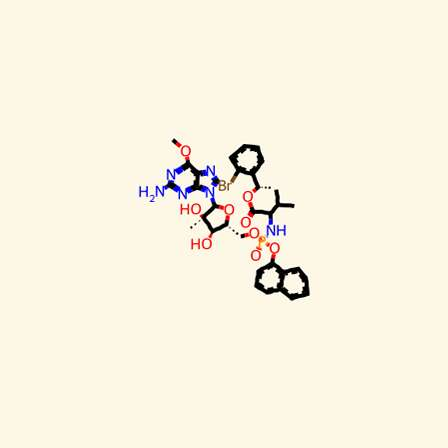 COc1nc(N)nc2c1ncn2C1O[C@H](COP(=O)(NC(C(=O)O[C@@H](C)c2ccccc2Br)C(C)C)Oc2cccc3ccccc23)[C@@H](O)[C@@]1(C)O